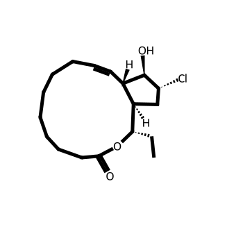 CC[C@@H]1OC(=O)CCCCCCC/C=C\[C@@H]2[C@@H](O)[C@H](Cl)C[C@H]21